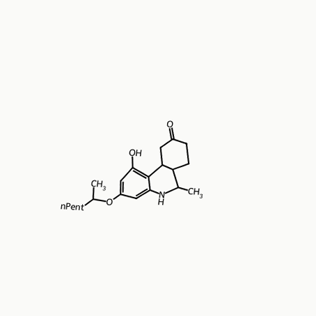 CCCCCC(C)Oc1cc(O)c2c(c1)NC(C)C1CCC(=O)CC21